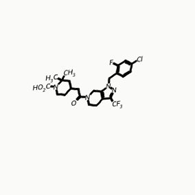 CC1(C)CC(CC(=O)N2CCc3c(C(F)(F)F)nn(Cc4ccc(Cl)cc4F)c3C2)CCN1C(=O)O